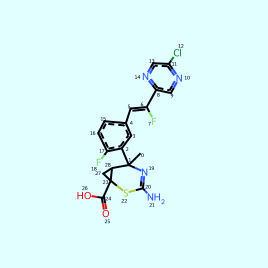 CC1(c2cc(C=C(F)c3cnc(Cl)cn3)ccc2F)N=C(N)SC2(C(=O)O)CC21